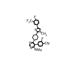 CNc1ncnc(N2CCC(c3nc(-c4ccc(F)c(C(F)(F)F)c4)cn3C)CC2)c1-c1ccc(C#N)c(F)c1